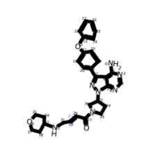 Nc1ncnc2c1c(-c1ccc(Oc3ccccc3)cc1)nn2C1CCN(C(=O)/C=C/CNC2CCOCC2)C1